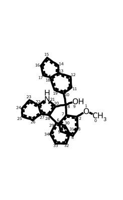 COc1ccccc1C(O)(c1ccc2ccccc2c1)c1[nH]c2ccccc2c1-c1ccccc1